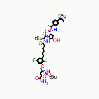 Cc1ncsc1-c1ccc([C@H](C)NC(=O)[C@@H]2C[C@@H](O)CN2C(=O)[C@@H](NC(=O)CCCCCc2cc(F)cc(OC[C@H](CCC(N)=O)NC(=O)OC(C)(C)C)c2F)C(C)(C)C)cc1